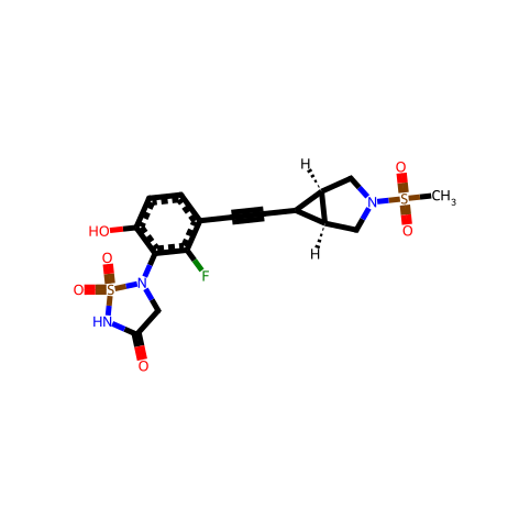 CS(=O)(=O)N1C[C@@H]2C(C#Cc3ccc(O)c(N4CC(=O)NS4(=O)=O)c3F)[C@@H]2C1